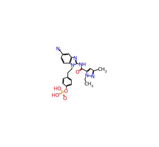 CCn1nc(C)cc1C(=O)Nc1nc2cc(C#N)ccc2n1CCc1ccc(OP(=O)(O)O)cc1